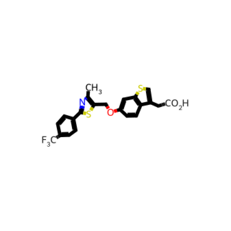 Cc1nc(-c2ccc(C(F)(F)F)cc2)sc1COc1ccc2c(CC(=O)O)csc2c1